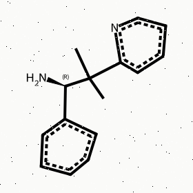 CC(C)(c1ccccn1)[C@H](N)c1ccccc1